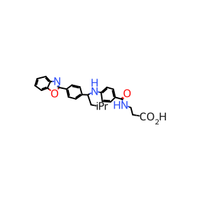 CC(C)CC(Nc1ccc(C(=O)NCCC(=O)O)cc1)c1ccc(-c2nc3ccccc3o2)cc1